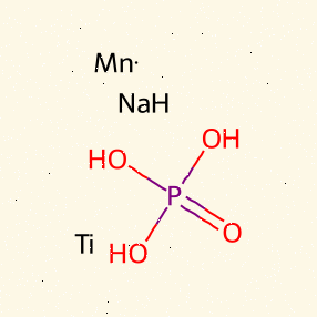 O=P(O)(O)O.[Mn].[NaH].[Ti]